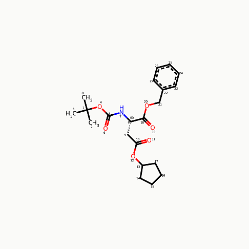 CC(C)(C)OC(=O)N[C@@H](CC(=O)OC1CCCC1)C(=O)OCc1ccccc1